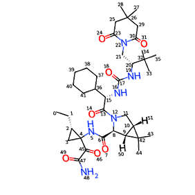 CC[C@H]1CC1(NC(=O)[C@@H]1[C@@H]2[C@H](CN1C(=O)[C@@H](NC(=O)N[C@H](CN1C(=O)CC(C)(C)CC1=O)C(C)(C)C)C1CCCCC1)C2(C)C)C(=O)C(N)=O